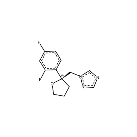 Fc1ccc([C@]2(Cn3cncn3)CCCO2)c(F)c1